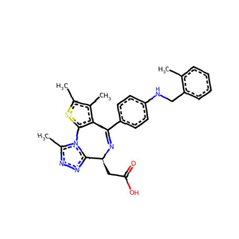 Cc1ccccc1CNc1ccc(C2=N[C@@H](CC(=O)O)c3nnc(C)n3-c3sc(C)c(C)c32)cc1